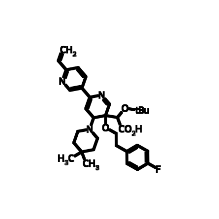 C=Cc1ccc(C2=CC(N3CCC(C)(C)CC3)C(OCCc3ccc(F)cc3)(C(OC(C)(C)C)C(=O)O)C=N2)cn1